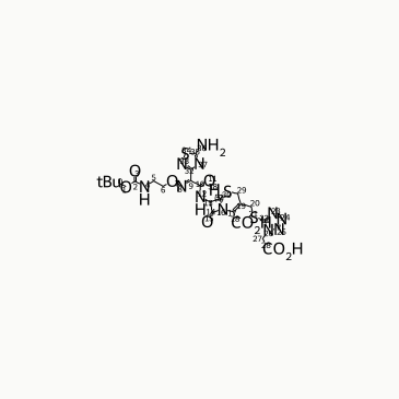 CC(C)(C)OC(=O)NCCON=C(C(=O)NC1C(=O)N2C(C(=O)O)=C(CSc3nnnn3CC(=O)O)CS[C@@H]12)c1nsc(N)n1